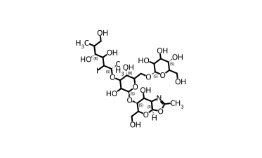 CC1=NC2C(O)[C@H](O[C@@H]3OC(CO[C@H]4OC(CO)[C@@H](O)C(O)C4O)[C@@H](O)C(O[C@@H](C)C(I)C(O)[C@H](O)C(C)CO)C3O)C(CO)O[C@@H]2O1